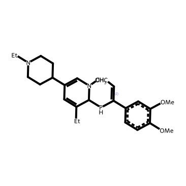 CCC1=CC(C2CCN(CC)CC2)=CN(C)C1P/C(=C\C=O)c1ccc(OC)c(OC)c1